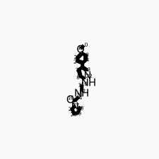 COc1ccc(-c2ccc(NCCNCC(=O)N3CCCC3)nc2)cc1